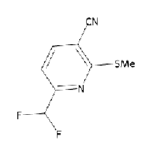 CSc1nc(C(F)F)ccc1C#N